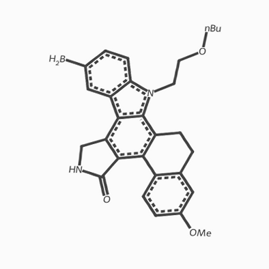 Bc1ccc2c(c1)c1c3c(c4c(c1n2CCOCCCC)CCc1cc(OC)ccc1-4)C(=O)NC3